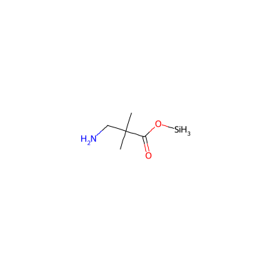 CC(C)(CN)C(=O)O[SiH3]